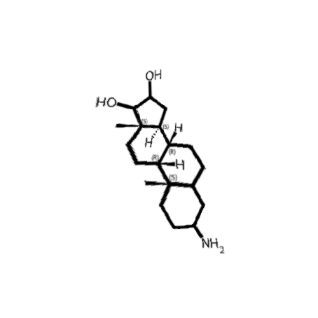 C[C@]12CCC(N)CC1CC[C@@H]1[C@H]2CC[C@]2(C)C(O)C(O)C[C@@H]12